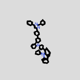 c1ccc(-c2cc(-c3ccc(-c4ccc5c(c4)c4ccccc4n5-c4ccc(-c5cccc6c7ccccc7n(-c7ccccc7)c56)cc4)cc3)nc(-c3ccccc3)n2)cc1